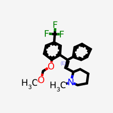 COCOc1ccc(C(F)(F)F)cc1/C(=C/C1CCCCN1C)c1ccccc1